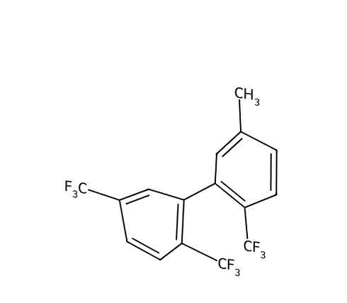 Cc1ccc(C(F)(F)F)c(-c2cc(C(F)(F)F)ccc2C(F)(F)F)c1